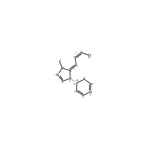 CC/C=C\C=C1/C(C)N=CN1[C@H]1C=CN=CC1